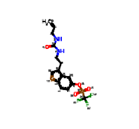 C=CCNC(=O)NCCc1csc2ccc(OS(=O)(=O)C(F)(F)F)cc12